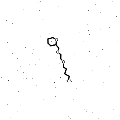 N#CCCCCOCCOCC1CCCCO1